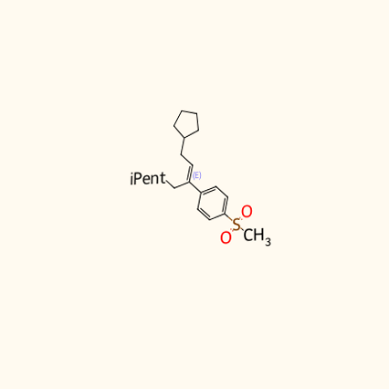 CCCC(C)C/C(=C\CC1CCCC1)c1ccc(S(C)(=O)=O)cc1